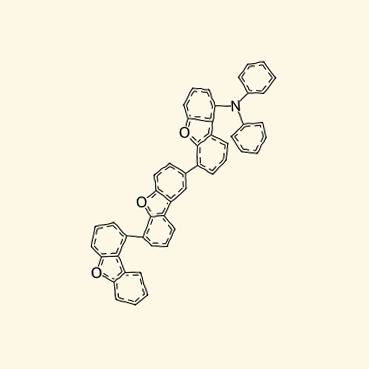 c1ccc(N(c2ccccc2)c2cccc3oc4c(-c5ccc6oc7c(-c8cccc9oc%10ccccc%10c89)cccc7c6c5)cccc4c23)cc1